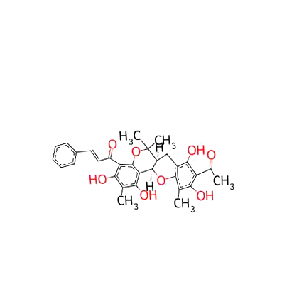 CC(=O)c1c(O)c(C)c2c(c1O)C[C@H]1[C@@H](O2)c2c(O)c(C)c(O)c(C(=O)/C=C/c3ccccc3)c2OC1(C)C